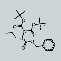 CCC[C@@H](C(=O)OCc1ccccc1)N(C(=O)OC(C)(C)C)C(=O)OC(C)(C)C